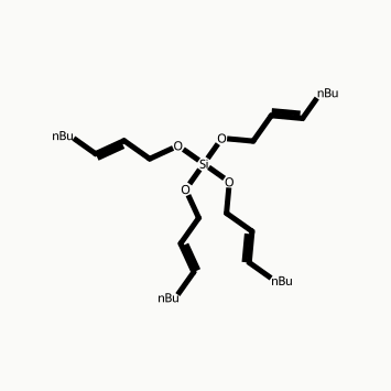 CCCCC=CCO[Si](OCC=CCCCC)(OCC=CCCCC)OCC=CCCCC